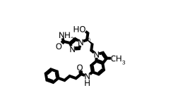 Cc1cn(CC[C@H](CO)n2cnc(C(N)=O)c2)c2cc(NC(=O)CCCc3ccccc3)ccc12